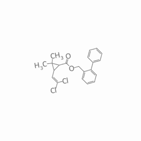 CC1(C)C(C=C(Cl)Cl)C1C(=O)OCc1ccccc1-c1ccccc1